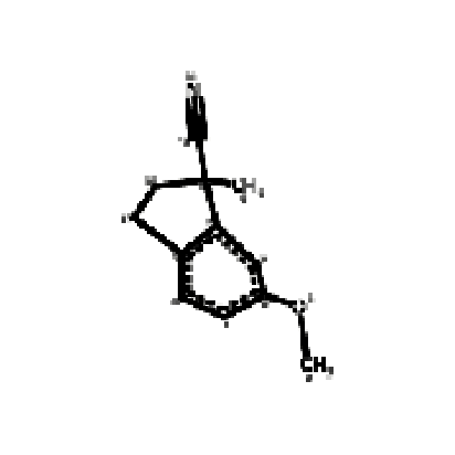 COc1ccc2c(c1)C(C)(C#N)CC2